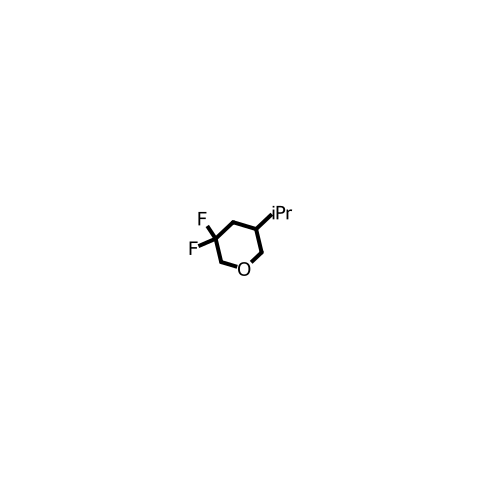 CC(C)C1COCC(F)(F)C1